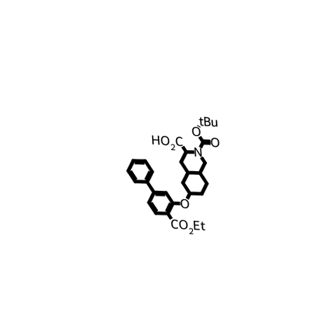 CCOC(=O)c1ccc(-c2ccccc2)cc1OC1CCC2CN(C(=O)OC(C)(C)C)C(C(=O)O)CC2C1